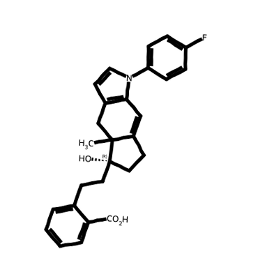 CC12Cc3ccn(-c4ccc(F)cc4)c3C=C1CC[C@@]2(O)CCc1ccccc1C(=O)O